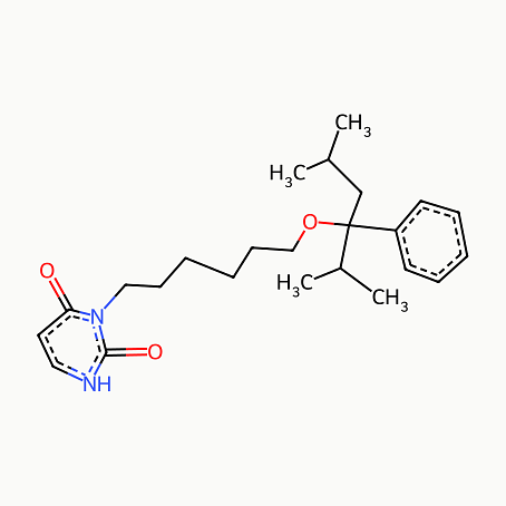 CC(C)CC(OCCCCCCn1c(=O)cc[nH]c1=O)(c1ccccc1)C(C)C